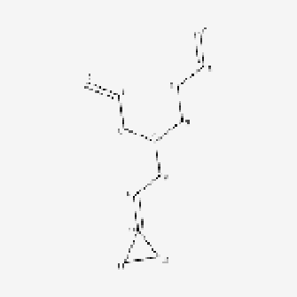 C=CCCC(CC=C)CC=C1CC1